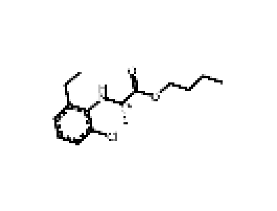 CCCCOC(=O)[C@H](C)Nc1c(Cl)cccc1CC